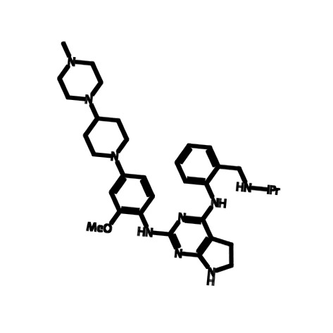 COc1cc(N2CCC(N3CCN(C)CC3)CC2)ccc1Nc1nc2c(c(Nc3ccccc3CNC(C)C)n1)CCN2